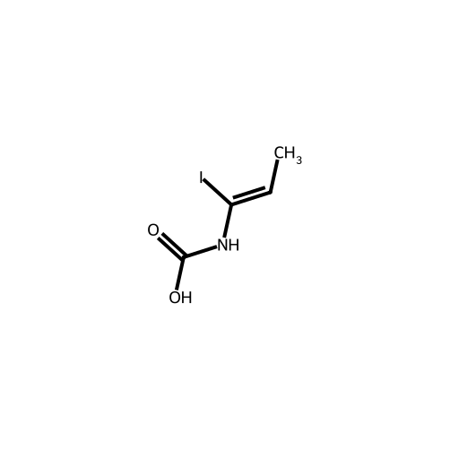 CC=C(I)NC(=O)O